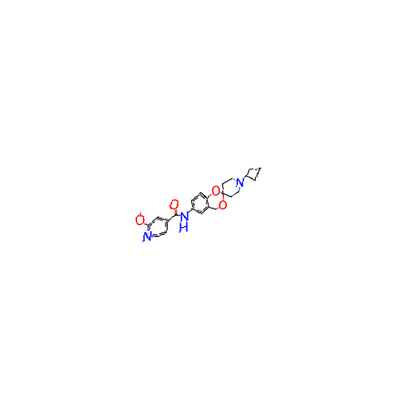 COc1cc(C(=O)Nc2ccc3c(c2)COC2(CCN(C4CCC4)CC2)O3)ccn1